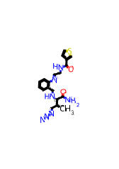 CC(CN=[N+]=[N-])[C@H](NCc1ccccc1/N=C/CNC(=O)c1ccsc1)C(N)=O